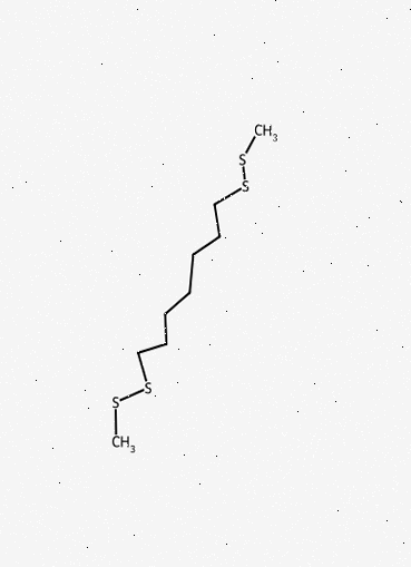 CSSCCCCCCCSSC